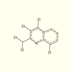 Clc1c(C(Cl)Cl)nc2c(Cl)cccc2c1Cl